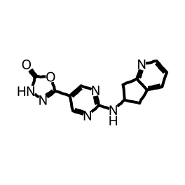 O=c1[nH]nc(-c2cnc(NC3Cc4cccnc4C3)nc2)o1